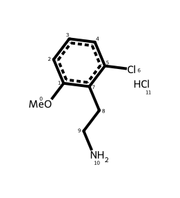 COc1cccc(Cl)c1CCN.Cl